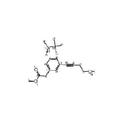 COC(=O)Cc1cccc(C#CCCO)c1.C[SiH](C)C(C)(C)C